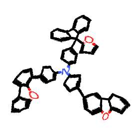 c1coc(C2(c3ccc(N(c4ccc(-c5ccc6oc7ccccc7c6c5)cc4)c4ccc(-c5cccc6c5oc5ccccc56)cc4)cc3)c3ccccc3-c3ccccc32)c1